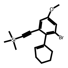 COc1cc(Br)c(C2=CCCCC2)c(C#C[Si](C)(C)C)c1